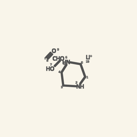 C1CNCCN1.O=[C-]O.[C]=O.[Li+]